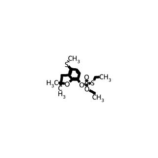 CCOP(=O)(Oc1ccc(SC)c2c1OC(C)(C)C2)SCC